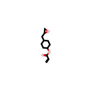 C=CC(=O)OC1CCC(CC2CO2)CC1